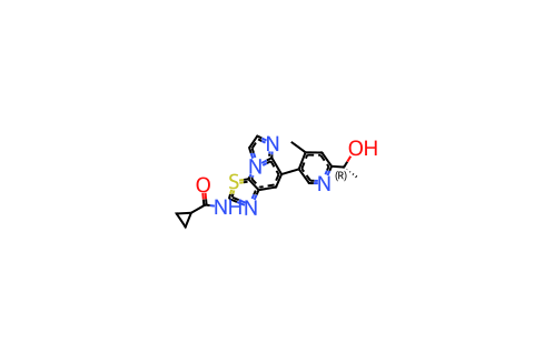 Cc1cc([C@@H](C)O)ncc1-c1cc2nc(NC(=O)C3CC3)sc2n2ccnc12